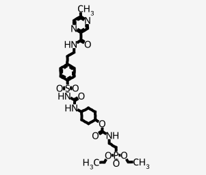 CCOP(=O)(CCNC(=O)OC1CCC(NC(=O)NS(=O)(=O)c2ccc(CCNC(=O)c3cnc(C)cn3)cc2)CC1)OCC